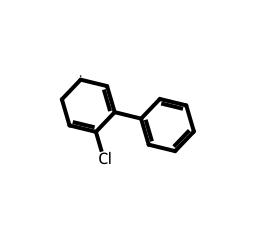 ClC1=CC[CH]C=C1c1ccccc1